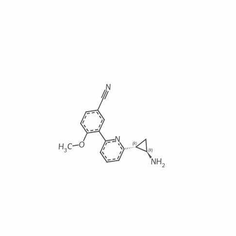 COc1ccc(C#N)cc1-c1cccc([C@@H]2C[C@H]2N)n1